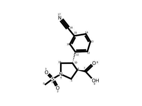 CS(=O)(=O)N1C[C@H](C(=O)O)[C@@H](c2cccc(C#N)c2)C1